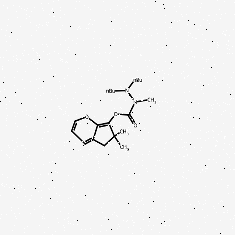 CCCCN(CCCC)N(C)C(=O)OC1=C2OC=CC=C2CC1(C)C